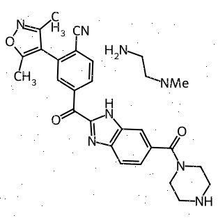 CNCCN.Cc1noc(C)c1-c1cc(C(=O)c2nc3ccc(C(=O)N4CCNCC4)cc3[nH]2)ccc1C#N